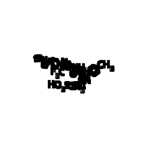 CS(=O)(=O)O.Cc1ccc(-n2nc(C(C)(C)C)cc2NC(=O)Nc2cnc(N3CCN(C(=O)C(C)(C)C)CC3)c(C(F)(F)F)c2)cc1